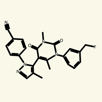 Cc1cnn(-c2ccc(C#N)cc2)c1-c1c(C)n(-c2cccc(CF)c2)c(=O)n(C)c1=O